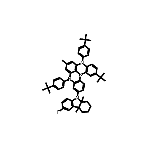 Cc1cc2c3c(c1)N(c1ccc(C(C)(C)C)cc1)c1cc(N4c5ccc(F)cc5C5(C)CCCCC45C)ccc1B3c1cc(C(C)(C)C)ccc1N2c1ccc(C(C)(C)C)cc1